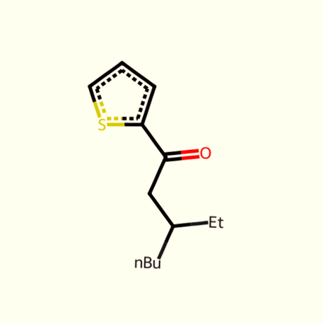 CCCCC(CC)CC(=O)c1cccs1